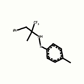 Cc1ccc(SNC(C)(CC(C)C)C(F)(F)F)cc1